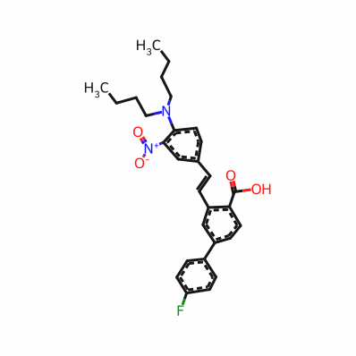 CCCCN(CCCC)c1ccc(C=Cc2cc(-c3ccc(F)cc3)ccc2C(=O)O)cc1[N+](=O)[O-]